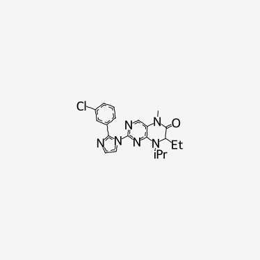 CCC1C(=O)N(C)c2cnc(-n3ccnc3-c3cccc(Cl)c3)nc2N1C(C)C